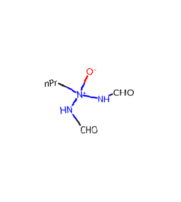 CCC[N+]([O-])(NC=O)NC=O